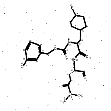 CN(C)C(=O)CC[C@@H](C=O)NC(=O)C(CC1CCC(F)CC1)NC(=O)OCc1cccc(Cl)c1